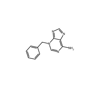 Nc1ncn(Cc2ccccc2)c2ncnc1-2